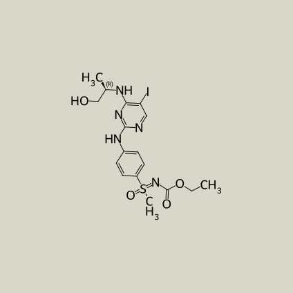 CCOC(=O)N=S(C)(=O)c1ccc(Nc2ncc(I)c(N[C@H](C)CO)n2)cc1